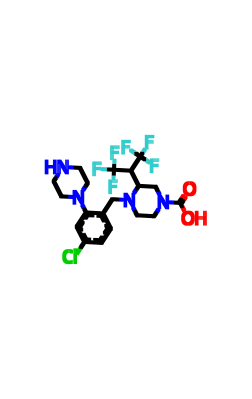 O=C(O)N1CCN(Cc2ccc(Cl)cc2N2CCNCC2)C(C(C(F)(F)F)C(F)(F)F)C1